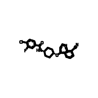 N#Cc1cccc2c(O[C@H]3CC[C@H](NC(=O)c4ccc(Cl)c(F)c4)CC3)ccnc12